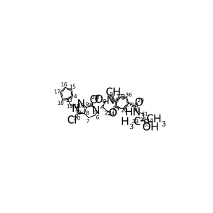 CN1C(=O)[C@@H](N2CCc3c(nn(Cc4ccccc4)c3Cl)C2=O)COc2cc(C(=O)NCC(C)(C)O)ccc21